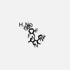 Cc1ncc2c(C)cn(Cc3c(F)cc(S(N)(=O)=O)cc3F)c2c1-c1ccn(C)n1